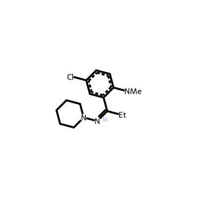 CC/C(=N/N1CCCCC1)c1cc(Cl)ccc1NC